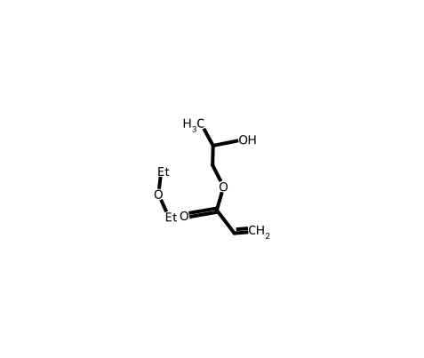 C=CC(=O)OCC(C)O.CCOCC